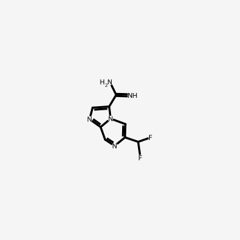 N=C(N)c1cnc2cnc(C(F)F)cn12